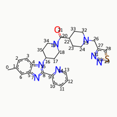 Cc1ccc2c(c1)nc(-c1ccccn1)n2C1CCN(C(=O)C2CCN(Cc3csnn3)CC2)CC1